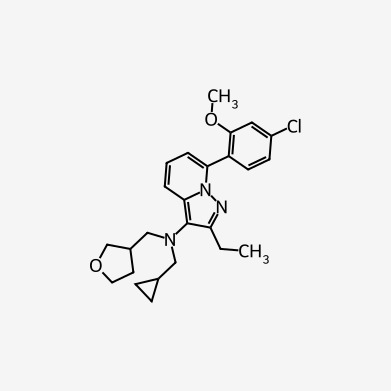 CCc1nn2c(-c3ccc(Cl)cc3OC)cccc2c1N(CC1CC1)CC1CCOC1